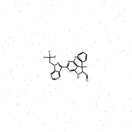 CC1(c2ccccc2)c2c(N)nc(-c3nn(CC(F)(F)F)c4ccccc34)nc2NC1C=O